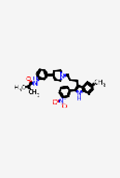 Cc1ccc2[nH]c(-c3cccc([N+](=O)[O-])c3)c(CCCN3CCC(c4cccc(NC(=O)C(C)C)c4)CC3)c2c1